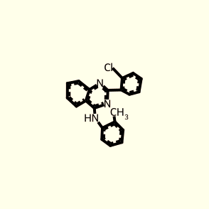 Cc1ccccc1Nc1nc(-c2ccccc2Cl)nc2ccccc12